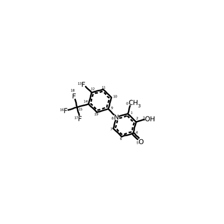 Cc1c(O)c(=O)ccn1-c1ccc(F)c(C(F)(F)F)c1